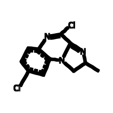 CC1CN2C(=N1)C(Cl)=Nc1ccc(Cl)cc12